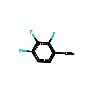 CC(C)COc1ccc(F)c(F)c1F